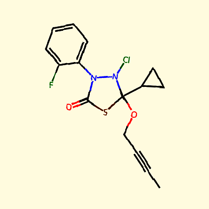 CC#CCOC1(C2CC2)SC(=O)N(c2ccccc2F)N1Cl